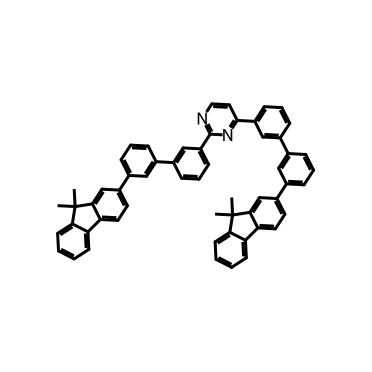 CC1(C)c2ccccc2-c2ccc(-c3cccc(-c4cccc(-c5ccnc(-c6cccc(-c7cccc(-c8ccc9c(c8)C(C)(C)c8ccccc8-9)c7)c6)n5)c4)c3)cc21